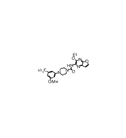 CCOc1nc2occc2nc1NC(=O)N1CCN(c2cc(C)cc(OC)c2)CC1